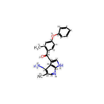 Cc1cc(Oc2ccccc2)ccc1C(=O)c1c[nH]c2ncc(C#N)c(N)c12